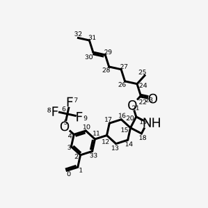 C=Cc1cc(OC(F)(F)F)cc(C2CCC3(CC2)CNC3OC(=O)C(C)CCCC=CCC)c1